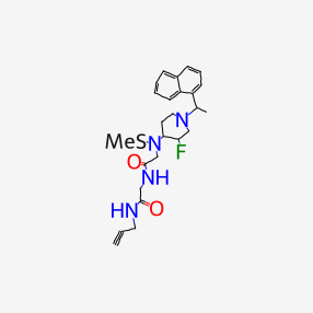 C#CCNC(=O)CNC(=O)CN(SC)C1CCN(C(C)c2cccc3ccccc23)CC1F